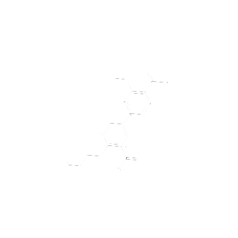 CCCOc1ccc(-c2ccc(C(=O)O)c(OC)c2)cc1C(N)=O